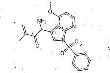 C=C(C)C(=O)C(N)c1cn(S(=O)(=O)c2ccccc2)c2nccc(OC)c12